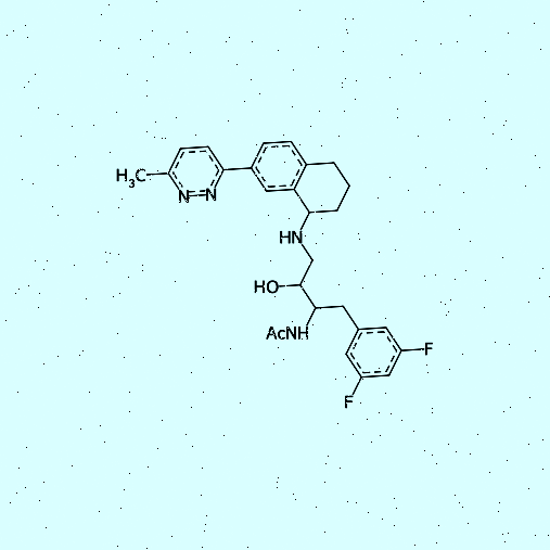 CC(=O)NC(Cc1cc(F)cc(F)c1)C(O)CNC1CCCc2ccc(-c3ccc(C)nn3)cc21